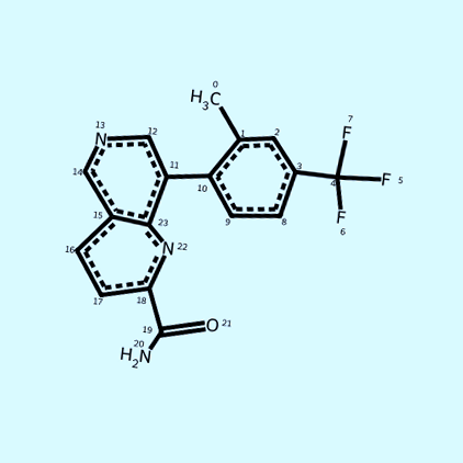 Cc1cc(C(F)(F)F)ccc1-c1cncc2ccc(C(N)=O)nc12